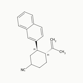 C=C(C)[C@@H]1CCC(C#N)C[C@H]1c1ccc2ccccc2c1